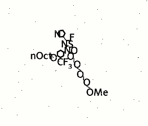 CCCCCCCCOc1ccc(N(C(=O)OCCOCCOCCOCCOC)c2nc(-c3cccnc3)c(F)s2)cc1C(F)(F)F